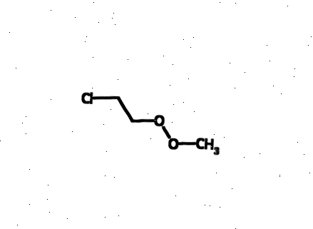 COOCCCl